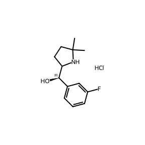 CC1(C)CCC([C@H](O)c2cccc(F)c2)N1.Cl